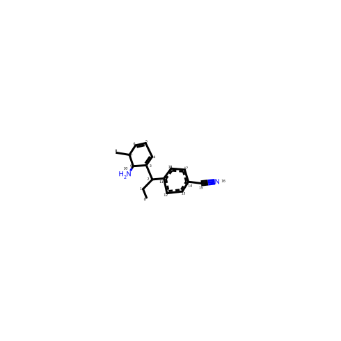 CCC(C1=CC=CC(C)C1N)c1ccc(C#N)cc1